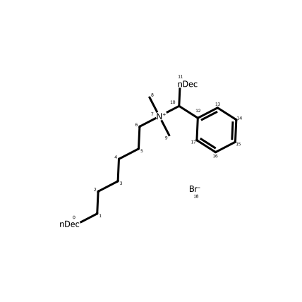 CCCCCCCCCCCCCCCC[N+](C)(C)C(CCCCCCCCCC)c1ccccc1.[Br-]